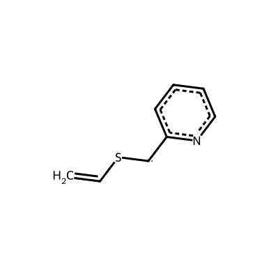 C=CS[CH]c1ccccn1